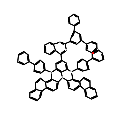 c1ccc(-c2ccc(N3c4cc(-c5nc(-c6cc(-c7ccccc7)cc(-c7ccccc7)c6)nc6ccccc56)cc5c4B(c4ccc6c(ccc7ccccc76)c43)c3ccc4c(ccc6ccccc64)c3N5c3ccc(-c4ccccc4)cc3)cc2)cc1